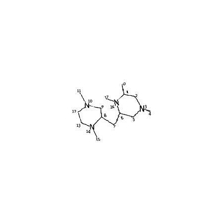 CC1CN(C)CC(CC2CN(C)CCN2C)N1C